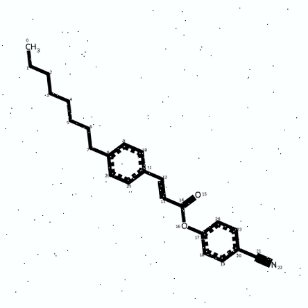 CCCCCCCCc1ccc(C=CC(=O)Oc2ccc(C#N)cc2)cc1